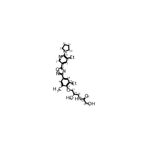 CCc1cc(-c2nc(-c3cc(C)c(OC[C@H](O)CNC(=O)CO)c(CC)c3)no2)cnc1N1CCCC1